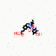 CCC(C)(C)C(=O)N1CCc2ccc(CCC(=O)O)cc2C1C(=O)Nc1cc(C)c(O)c(C)c1C